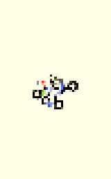 CC(C)(C)[C@H](c1nc(-c2ccccc2)cn1Cc1ccccc1)N(C[C@]1(F)CCNC1)C(=O)c1ccccc1